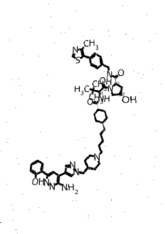 Cc1ncsc1-c1ccc(CNC(=O)[C@@H]2C[C@@H](O)CN2C(=O)[C@@H](NC(=O)[C@H]2CC[C@H](CCCCCN3CCC(Cn4cc(-c5cc(-c6ccccc6O)nnc5N)cn4)CC3)CC2)C(C)(C)C)cc1